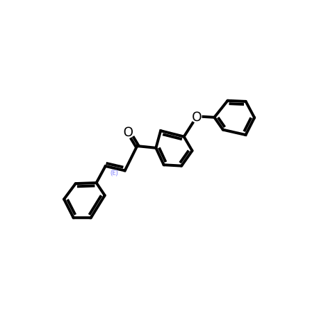 O=C(/C=C/c1ccccc1)c1cccc(Oc2ccccc2)c1